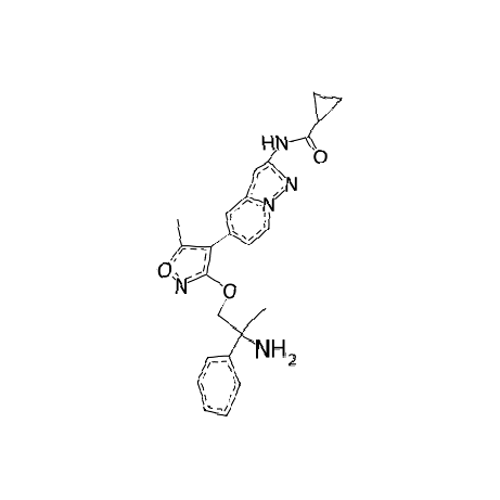 Cc1onc(OCC(C)(N)c2ccccc2)c1-c1ccn2nc(NC(=O)C3CC3)cc2c1